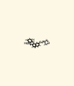 Cc1ccc(Nc2c(C#N)cnc3ccc(OCCN4CCOCC4)nc23)cc1O